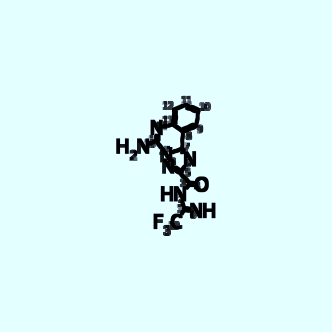 N=C(NC(=O)c1nc2c3ccccc3nc(N)n2n1)C(F)(F)F